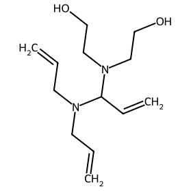 C=CCN(CC=C)C(C=C)N(CCO)CCO